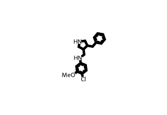 COc1cc(NCC2CNCC2Cc2ccccc2)ccc1Cl